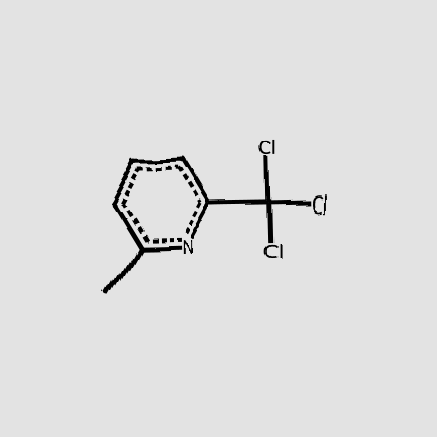 Cc1cccc(C(Cl)(Cl)Cl)n1